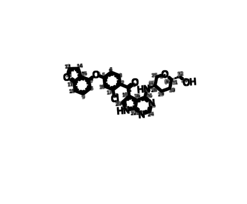 O=C(c1ccc(Oc2cccc3occc23)cc1Cl)c1c[nH]c2ncnc(N[C@@H]3CC[C@@H](CO)OC3)c12